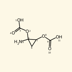 NC1(OC(=O)O)CC1OC(=O)O